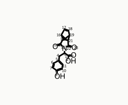 O=C(O)C(Cc1ccc(O)cc1)N1C(=O)C2C3C=CC(C3)C2C1=O